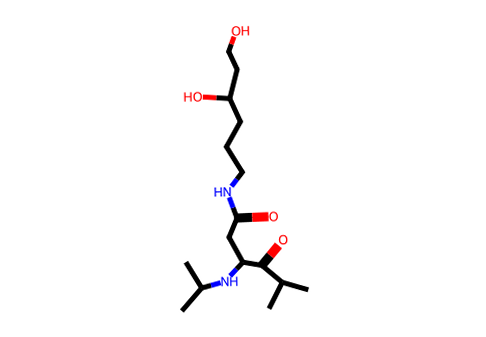 CC(C)NC(CC(=O)NCCCC(O)CCO)C(=O)C(C)C